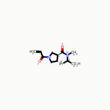 C=CC(=O)N1CC[C@H](C(=O)N(C)C(C(=O)O)C(C)C)C1